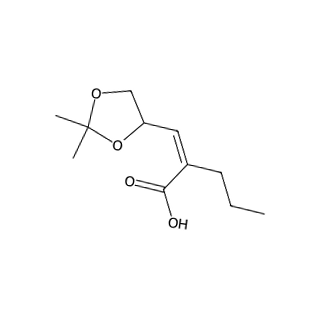 CCCC(=CC1COC(C)(C)O1)C(=O)O